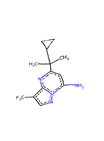 CC(C)(c1cc(N)n2ncc(C(F)(F)F)c2n1)C1CC1